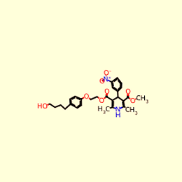 COC(=O)C1=C(C)NC(C)=C(C(=O)OCCOc2ccc(CCCCO)cc2)C1c1cccc([N+](=O)[O-])c1